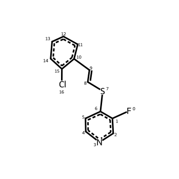 Fc1cnccc1S/C=C/c1ccccc1Cl